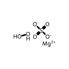 O=S(=O)([O-])[O-].OO.[Mg+2]